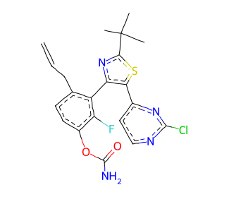 C=CCc1ccc(OC(N)=O)c(F)c1-c1nc(C(C)(C)C)sc1-c1ccnc(Cl)n1